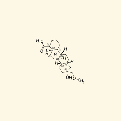 COC[C@@]1(O)CC[C@H]2[C@H](CC[C@@H]3[C@@H]2CC[C@]2(C)[C@@H](C(C)=O)CCC[C@@H]32)C1